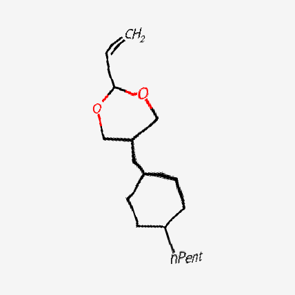 C=CC1OCC(C2CCC(CCCCC)CC2)CO1